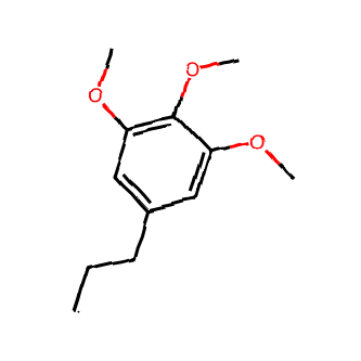 [CH2]CCc1cc(OC)c(OC)c(OC)c1